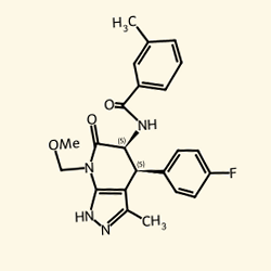 COCN1C(=O)[C@@H](NC(=O)c2cccc(C)c2)[C@@H](c2ccc(F)cc2)c2c(C)n[nH]c21